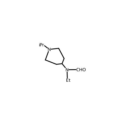 CCN(C=O)C1CCN(C(C)C)CC1